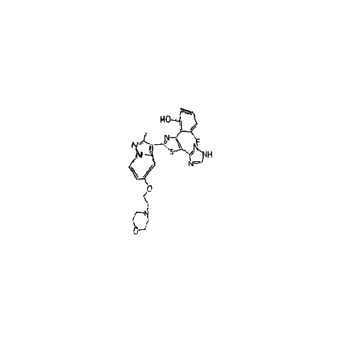 Cc1nn2ccc(OCCN3CCOCC3)cc2c1-c1nc(-c2c(O)cccc2F)c(-c2nc[nH]n2)s1